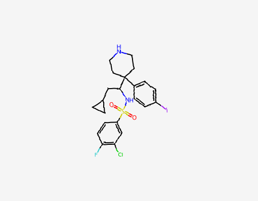 O=S(=O)(NC(CC1CC1)C1(c2ccc(I)cc2)CCNCC1)c1ccc(F)c(Cl)c1